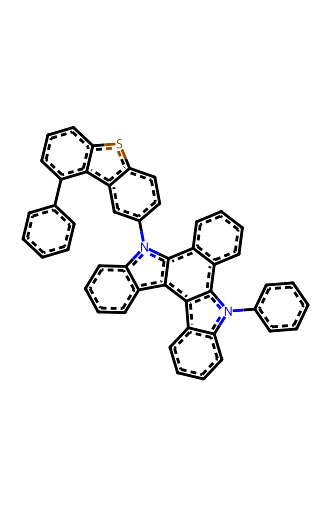 c1ccc(-c2cccc3sc4ccc(-n5c6ccccc6c6c7c8ccccc8n(-c8ccccc8)c7c7ccccc7c65)cc4c23)cc1